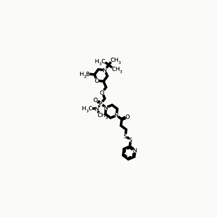 BC1CN(C(C)(C)C)CC(COCP(=O)(N(C)C)N2CCN(C(=O)CCSSc3ccccn3)CC2)O1